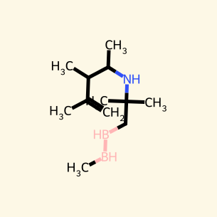 C=C(C)C(C)C(C)NC(C)(C)CBBC